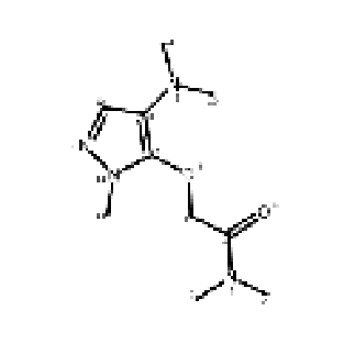 CN(C)C(=O)COc1c(N(C)C)cnn1C